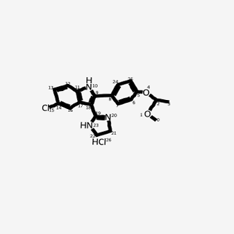 COC(C)Oc1ccc(-c2[nH]c3ccc(Cl)cc3c2C2=NCCN2)cc1.Cl